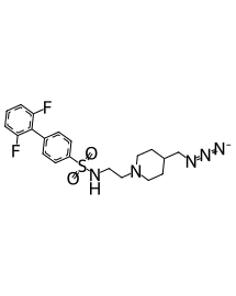 [N-]=[N+]=NCC1CCN(CCNS(=O)(=O)c2ccc(-c3c(F)cccc3F)cc2)CC1